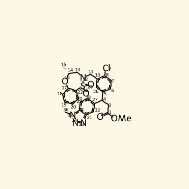 COC(=O)CC(c1ccc(Cl)c(CN2C[C@@H](C)Oc3ccccc3S2(=O)=O)c1)c1ccc2c(c1)nnn2C